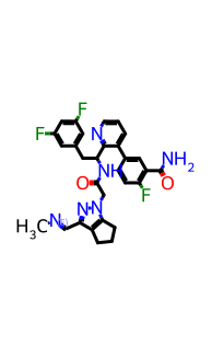 C/N=C/c1nn(CC(=O)NC(Cc2cc(F)cc(F)c2)c2ncccc2-c2ccc(F)c(C(N)=O)c2)c2c1CCC2